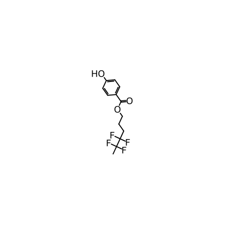 CC(F)(F)C(F)(F)CCCOC(=O)c1ccc(O)cc1